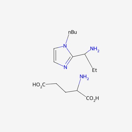 CCCCn1ccnc1C(N)CC.NC(CCC(=O)O)C(=O)O